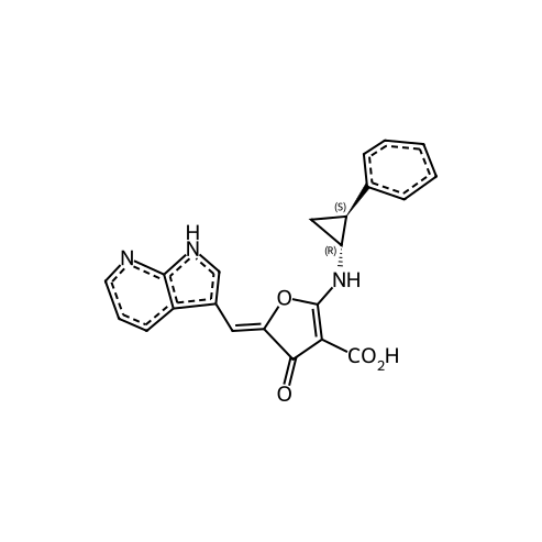 O=C(O)C1=C(N[C@@H]2C[C@H]2c2ccccc2)OC(=Cc2c[nH]c3ncccc23)C1=O